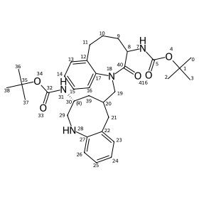 CC(C)(C)OC(=O)NC1CCCc2ccccc2N(CC2Cc3ccccc3NC[C@H](NC(=O)OC(C)(C)C)C2)C1=O